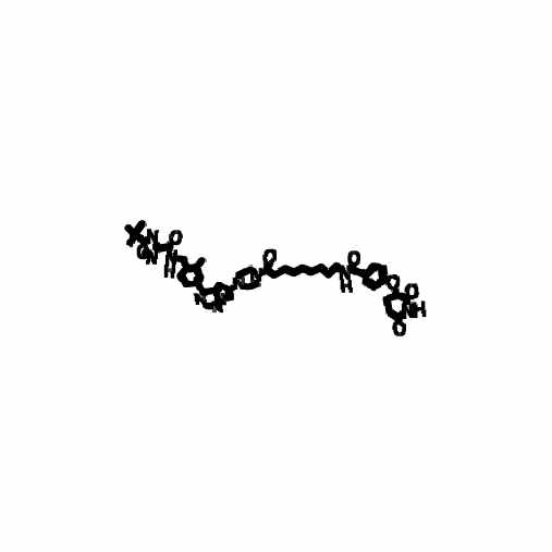 Cc1cc(-c2ncnn3cc(N4CCN(C(=O)CCCCCCCCNC(=O)c5ccc(OC6CCC(=O)NC6=O)cc5)CC4)cc23)ccc1CNC(=O)c1noc(C(C)(C)C)n1